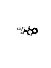 CCOC(=O)C(O)=C1COc2ccccc2C1=O